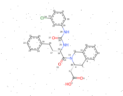 O=C(O)C[C@H]1Cc2ccccc2CN1C(=O)[C@H](CCc1ccccc1)NC(=O)Nc1cccc(Cl)c1